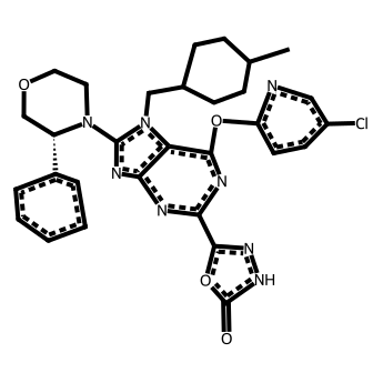 CC1CCC(Cn2c(N3CCOC[C@H]3c3ccccc3)nc3nc(-c4n[nH]c(=O)o4)nc(Oc4ccc(Cl)cn4)c32)CC1